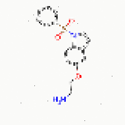 NCCOc1ccc2c(ccn2S(=O)(=O)c2ccccc2)c1